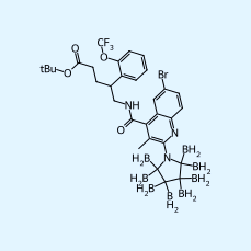 BC1(B)N(c2nc3ccc(Br)cc3c(C(=O)NCC(CCC(=O)OC(C)(C)C)c3ccccc3OC(F)(F)F)c2C)C(B)(B)C(B)(B)C1(B)B